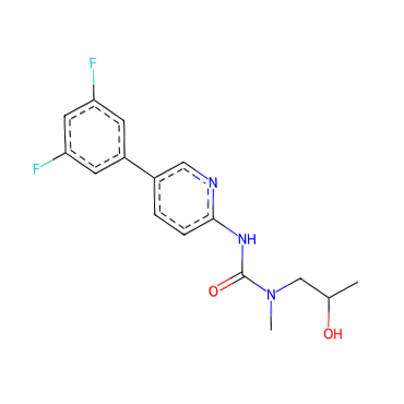 CC(O)CN(C)C(=O)Nc1ccc(-c2cc(F)cc(F)c2)cn1